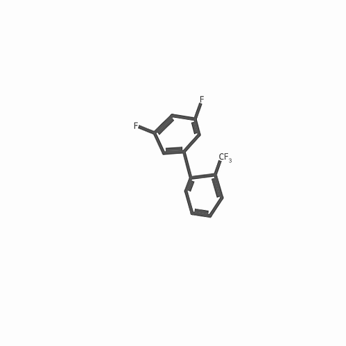 Fc1cc(F)cc(-c2ccccc2C(F)(F)F)c1